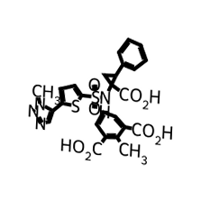 Cc1c(C(=O)O)cccc1C(=O)O.Cn1nncc1-c1ccc(S(=O)(=O)NC2(C(=O)O)CC2c2ccccc2)s1